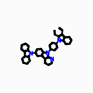 C=Cc1c(C=C)n(-c2ccc(-n3c4ccc(-n5c6ccccc6c6ccccc65)cc4c4cccnc43)cc2)c2ccccc12